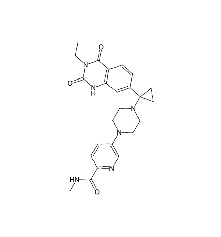 CCn1c(=O)[nH]c2cc(C3(N4CCN(c5ccc(C(=O)NC)nc5)CC4)CC3)ccc2c1=O